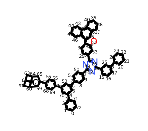 c1ccc(-c2cc(-c3ccc(-c4nc(-c5cccc(-c6ccccc6)c5)nc(-c5ccc6c(c5)oc5c7ccccc7c7ccccc7c65)n4)cc3)cc(-c3ccc(C45CC6CC7CC(C4)C76C5)cc3)c2)cc1